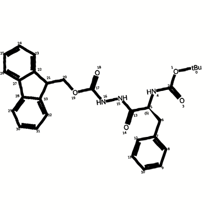 CC(C)(C)OC(=O)N[C@@H](Cc1ccccc1)C(=O)NNC(=O)OCC1c2ccccc2-c2ccccc21